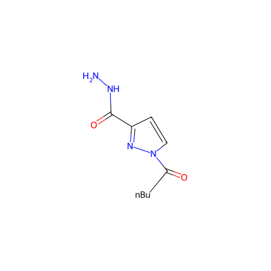 CCCCC(=O)n1ccc(C(=O)NN)n1